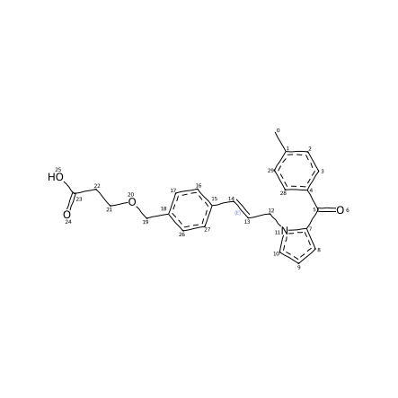 Cc1ccc(C(=O)c2cccn2C/C=C/c2ccc(COCCC(=O)O)cc2)cc1